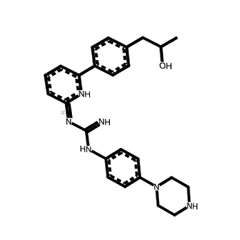 CC(O)Cc1ccc(-c2ccc/c(=N/C(=N)Nc3ccc(N4CCNCC4)cc3)[nH]2)cc1